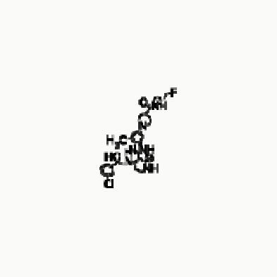 Cc1cc(N2CCC(C(=O)NOCCF)CC2)cc2[nH]c(-c3c(NCC(O)c4cccc(Cl)c4)cc[nH]c3=O)nc12